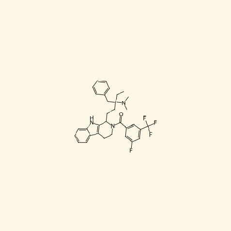 CCC(CCC1c2[nH]c3ccccc3c2CCN1C(=O)c1cc(F)cc(C(F)(F)F)c1)(Cc1ccccc1)N(C)C